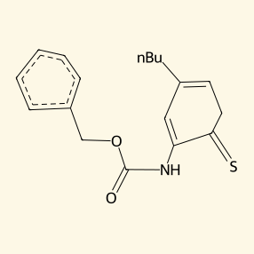 CCCCC1=CCC(=S)C(NC(=O)OCc2ccccc2)=C1